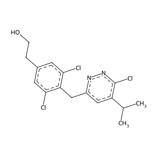 CC(C)c1cc(Cc2c(Cl)cc(CCO)cc2Cl)nnc1Cl